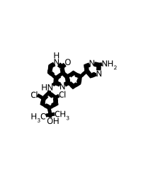 CC(C)(O)c1cc(Cl)c(Nc2nc3ccc(-c4cnc(N)nc4)cc3c3c(=O)[nH]ccc23)c(Cl)c1